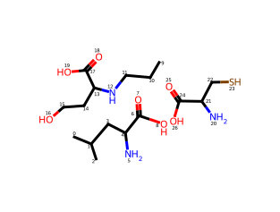 CC(C)CC(N)C(=O)O.CCCNC(CCO)C(=O)O.NC(CS)C(=O)O